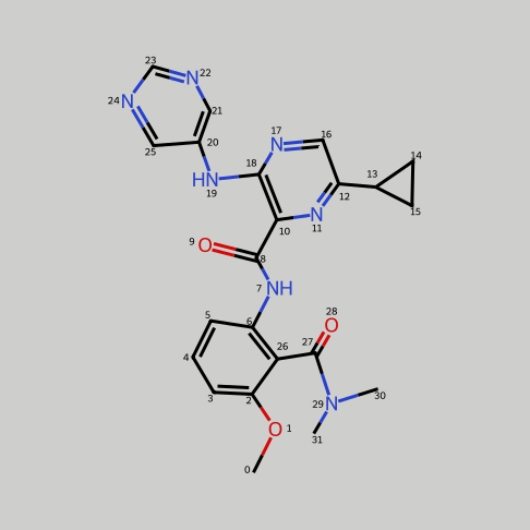 COc1cccc(NC(=O)c2nc(C3CC3)cnc2Nc2cncnc2)c1C(=O)N(C)C